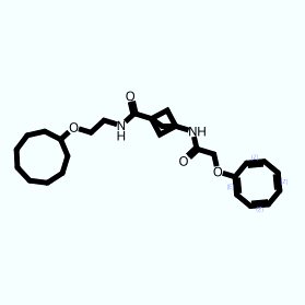 O=C(COC1=C/C=C\C=C/C=C\1)NC12CC(C(=O)NCCOC3CCCCCCCC3)(C1)C2